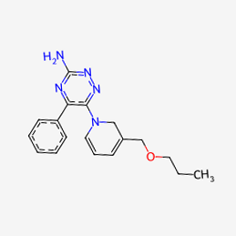 CCCOCC1=CC=CN(c2nnc(N)nc2-c2ccccc2)C1